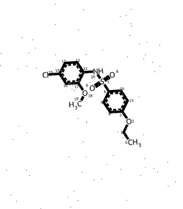 CCOc1ccc(S(=O)(=O)Nc2ccc(Cl)cc2OC)cc1